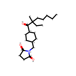 CCCCCC(C)(CC)C(=O)C1CCC(CN2C(=O)CCC2=O)CC1